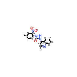 Cc1ccc(NC(=O)Nc2cc(C)nc3ccccc23)c([N+](=O)[O-])c1